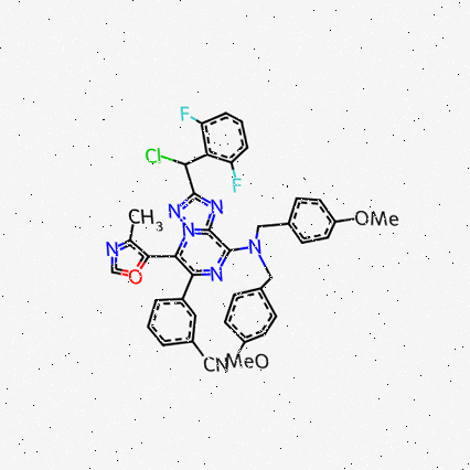 COc1ccc(CN(Cc2ccc(OC)cc2)c2nc(-c3cccc(C#N)c3)c(-c3ocnc3C)n3nc(C(Cl)c4c(F)cccc4F)nc23)cc1